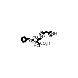 Cl.O=C(O)CC(NC(=O)OCc1ccccc1)C(=O)Cn1nnc(Cc2c[nH]cn2)n1